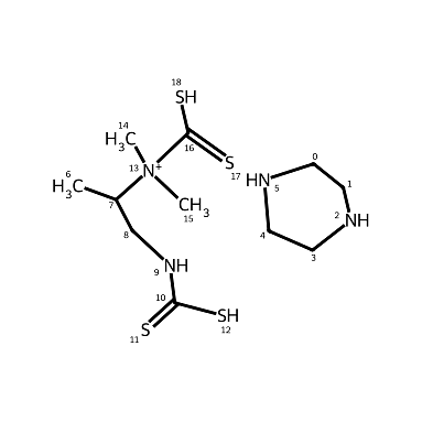 C1CNCCN1.CC(CNC(=S)S)[N+](C)(C)C(=S)S